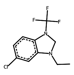 CCN1CN(C(F)(F)F)c2ccc(Cl)cc21